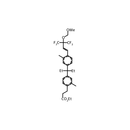 CCOC(=O)CCc1ccc(C(CC)(CC)c2ccc(/C=C/C(OCOC)(C(F)(F)F)C(F)(F)F)c(C)c2)cc1C